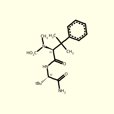 CN(C(=O)O)[C@H](C(=O)N[C@H](C(N)=O)C(C)(C)C)C(C)(C)c1ccccc1